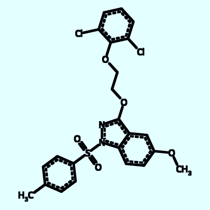 COc1ccc2c(c1)c(OCCOc1c(Cl)cccc1Cl)nn2S(=O)(=O)c1ccc(C)cc1